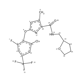 Cc1cc(Oc2c(F)cc(C(F)(F)F)cc2Cl)nn1C(=O)NCC1CCCO1